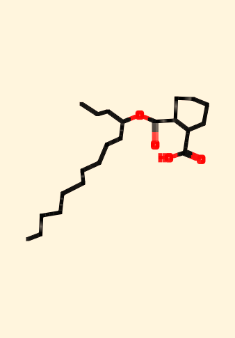 CCCCCCCCCCC(CCC)OC(=O)C1CCCCC1C(=O)O